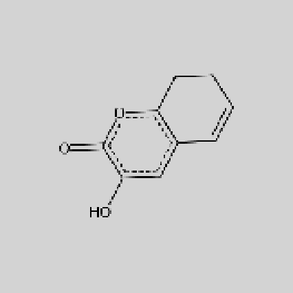 O=c1oc2c(cc1O)C=CCC2